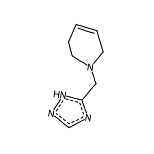 C1=CCN(Cc2ncn[nH]2)CC1